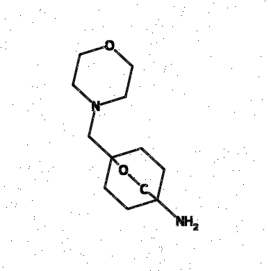 NC12CCC(CN3CCOCC3)(CC1)OC2